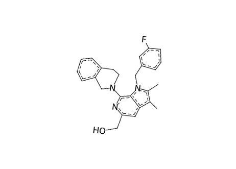 Cc1c(C)n(Cc2cccc(F)c2)c2c(N3CCc4ccccc4C3)nc(CO)cc12